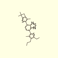 CCCc1c(CC)sc(-c2ccc(-c3sc4c(c3C)CC4(C)C)c3nsnc23)c1C